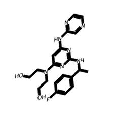 CC(Nc1nc(Nc2cnccn2)cc(N(CCO)CCO)n1)c1ccc(F)cc1